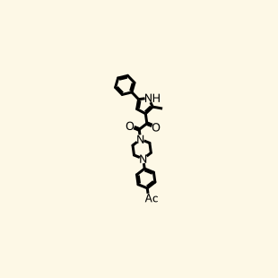 CC(=O)c1ccc(N2CCN(C(=O)C(=O)c3cc(-c4ccccc4)[nH]c3C)CC2)cc1